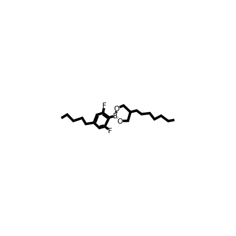 CCCCCCCC1COB(c2c(F)cc(CCCCC)cc2F)OC1